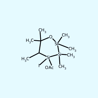 CC(=O)O[Si]1(I)C(C)C(C)(C)O[Si](C)(C)[Si]1(C)C